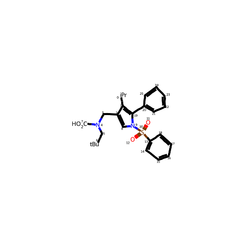 CC(C)c1c(CN(CC(C)(C)C)C(=O)O)cn(S(=O)(=O)c2ccccc2)c1-c1ccccc1